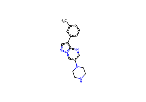 Cc1cccc(-c2cnn3cc(N4CCNCC4)cnc23)c1